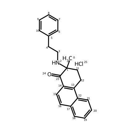 CC1(NCCc2ccccc2)CCc2c(ccc3ccccc23)C1=O.Cl